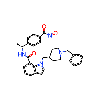 C[C@H](NC(=O)c1cccc2ccn(CC3CCN(Cc4ccccc4)CC3)c12)c1ccc(C(=O)N=O)cc1